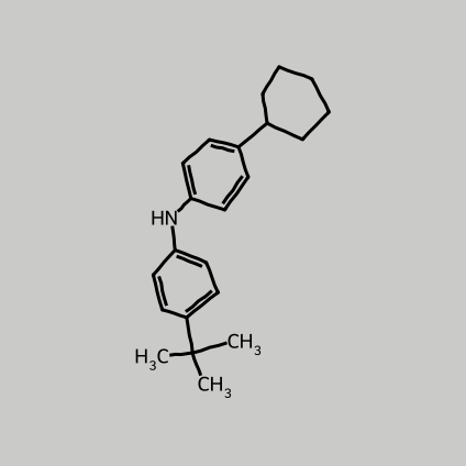 CC(C)(C)c1ccc(Nc2ccc(C3CCCCC3)cc2)cc1